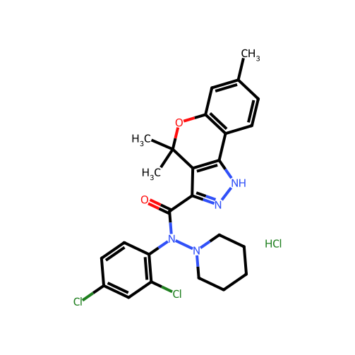 Cc1ccc2c(c1)OC(C)(C)c1c(C(=O)N(c3ccc(Cl)cc3Cl)N3CCCCC3)n[nH]c1-2.Cl